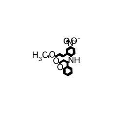 CCOC(=O)/C=C/c1cc([N+](=O)[O-])ccc1NC1CCOc2ccccc21